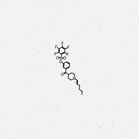 CCCC/C=C/N1CCC(C(=O)c2cccc(OS(=O)(=O)c3c(F)c(F)c(F)c(F)c3F)c2)CC1